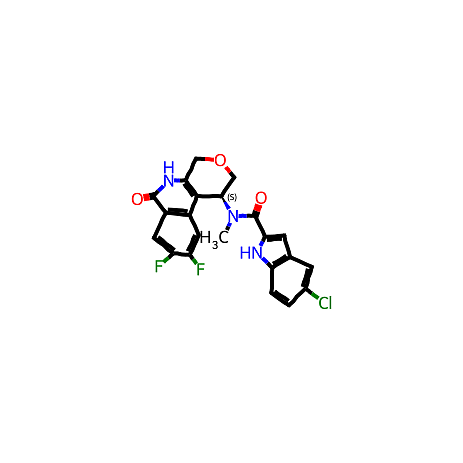 CN(C(=O)c1cc2cc(Cl)ccc2[nH]1)[C@@H]1COCc2[nH]c(=O)c3cc(F)c(F)cc3c21